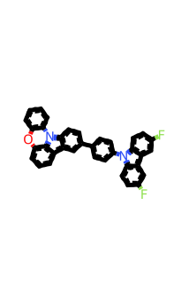 Fc1ccc2c(c1)c1cc(F)ccc1n2-c1ccc(-c2ccc3c(c2)c2cccc4c2n3-c2ccccc2O4)cc1